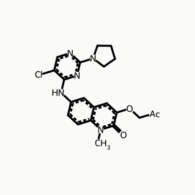 CC(=O)COc1cc2cc(Nc3nc(N4CCCC4)ncc3Cl)ccc2n(C)c1=O